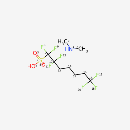 CNC.O=S(=O)(O)C(F)(F)C(F)(F)CCCCC(F)(F)F